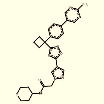 Nc1ncc(-c2ccc(C3(c4noc(-c5cnn(CC(=O)NC6CCOCC6)c5)n4)CCC3)cc2)cn1